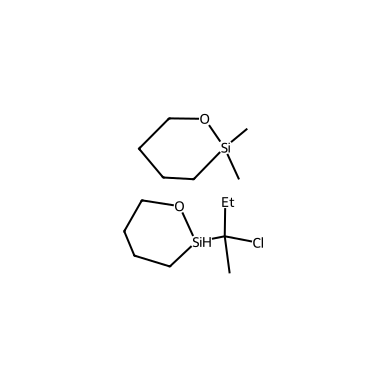 CCC(C)(Cl)[SiH]1CCCCO1.C[Si]1(C)CCCCO1